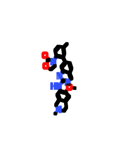 COc1cc2c(cc1Nc1ncc3ccc(-c4cc(C)ccc4N4CCOC4=O)cc3n1)CN(C)CC2